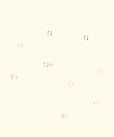 CCC(=O)Nc1nccnc1C(=O)OC(=O)CC